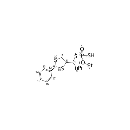 CCCC(SP(=O)(S)OCC)C1CS[C@H](c2ccccc2)S1